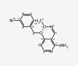 CO/N=C\c1c(N)ncnc1OCc1cccc(Br)c1